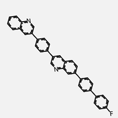 Fc1ccc(-c2ccc(-c3ccc4cc(-c5ccc(-c6cnc7ccccc7c6)cc5)cnc4c3)cc2)cc1